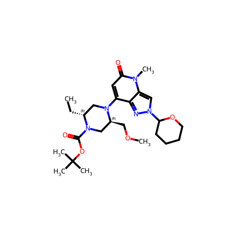 CC[C@@H]1CN(c2cc(=O)n(C)c3cn(C4CCCCO4)nc23)[C@@H](COC)CN1C(=O)OC(C)(C)C